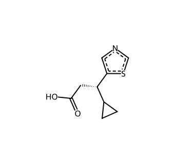 O=C(O)C[C@H](c1cncs1)C1CC1